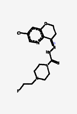 FCCN1CCN(C(=S)N/N=C2/CCOc3cc(Cl)cnc32)CC1